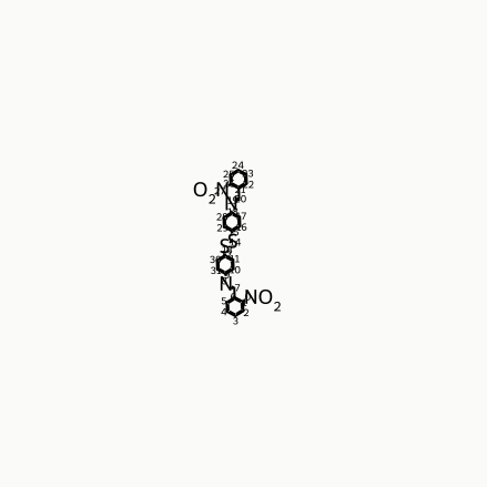 O=[N+]([O-])c1ccccc1/C=N/c1ccc(SSc2ccc(/N=C/c3ccccc3[N+](=O)[O-])cc2)cc1